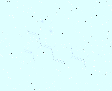 C\N=C(/C(=C(C)/C=C\C(C)=C(C)C)[N+](=O)[O-])S(C)(=O)=O